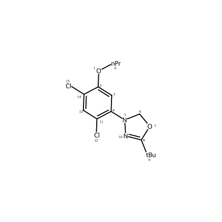 CCCOc1cc(N2COC(C(C)(C)C)=N2)c(Cl)cc1Cl